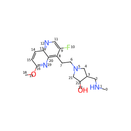 CNCC1CN(CCc2c(F)cnc3ccc(OC)nc23)CC1O